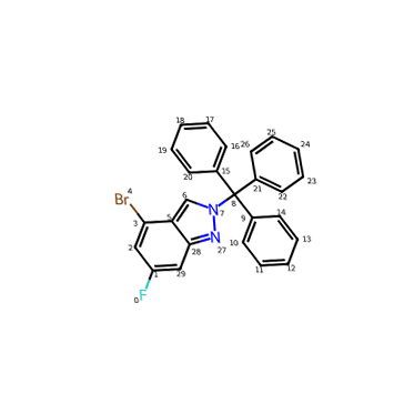 Fc1cc(Br)c2cn(C(c3ccccc3)(c3ccccc3)c3ccccc3)nc2c1